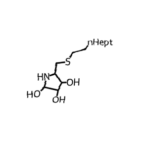 CCCCCCCCCSCC1NC(O)C(O)C1O